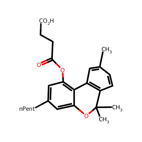 CCCCCc1cc(OC(=O)CCC(=O)O)c2c(c1)OC(C)(C)c1ccc(C)cc1-2